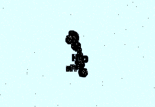 CCCN1C(c2ccccc2)=CC(C(=O)NCCCN2CCN(c3cccc4c3OCCO4)CC2)C1C